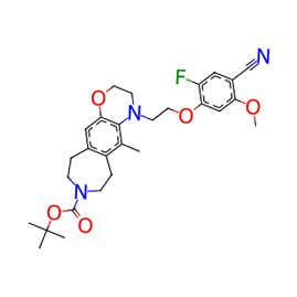 COc1cc(OCCN2CCOc3cc4c(c(C)c32)CCN(C(=O)OC(C)(C)C)CC4)c(F)cc1C#N